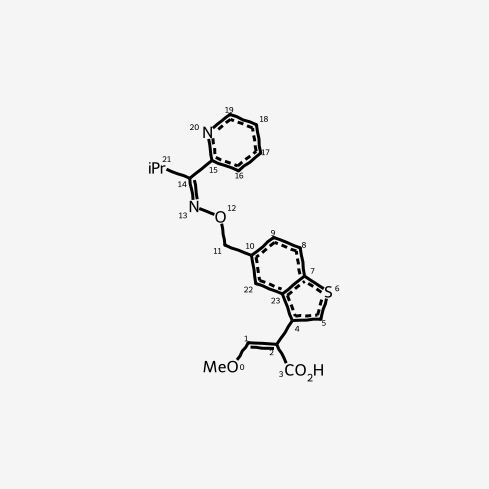 COC=C(C(=O)O)c1csc2ccc(CON=C(c3ccccn3)C(C)C)cc12